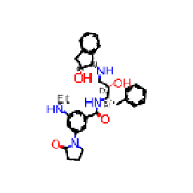 CCNc1cc(C(=O)N[C@@H](Cc2ccccc2)[C@@H](O)CN[C@H]2c3ccccc3C[C@H]2O)cc(N2CCCC2=O)c1